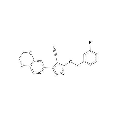 N#Cc1c(-c2ccc3c(c2)OCCO3)csc1OCc1cccc(F)c1